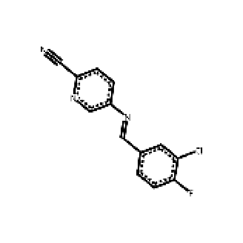 N#Cc1ccc(N=Cc2ccc(F)c(Cl)c2)cn1